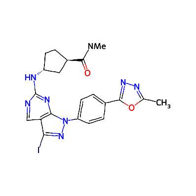 CNC(=O)[C@@H]1CC[C@@H](Nc2ncc3c(I)nn(-c4ccc(-c5nnc(C)o5)cc4)c3n2)C1